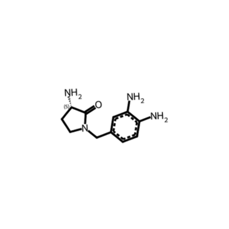 Nc1ccc(CN2CC[C@H](N)C2=O)cc1N